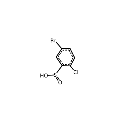 O=S(O)c1cc(Br)ccc1Cl